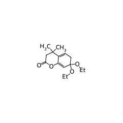 CCOC1(OCC)C=C2OC(=O)CC(C)(C)C2=CC1